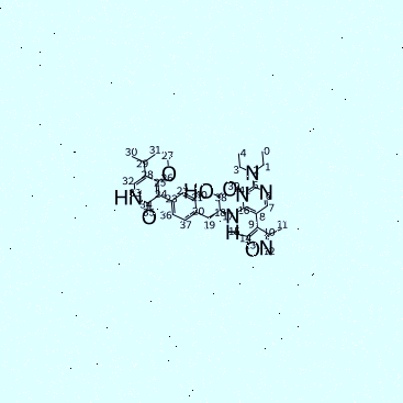 CCN(CC)c1ncc(-c2c(C)noc2C)c(N[C@@H](Cc2ccc(-c3c(OC)c(C(C)C)c[nH]c3=O)cc2)C(=O)O)n1